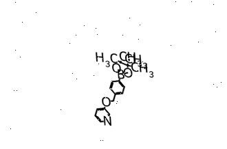 CC1(C)OB(c2ccc(COc3cccnc3)cc2)OC1(C)C